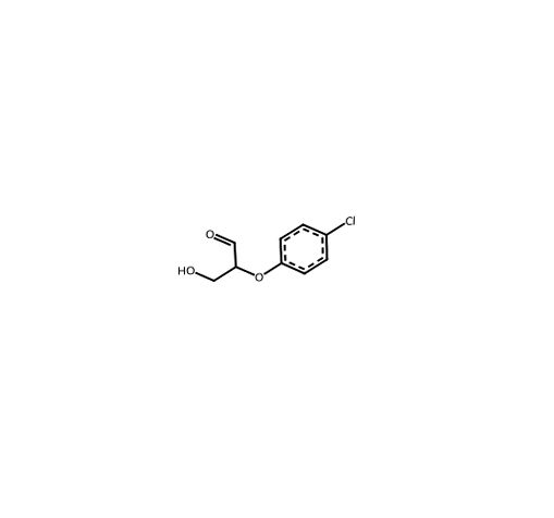 O=CC(CO)Oc1ccc(Cl)cc1